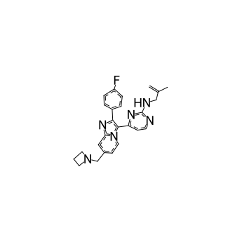 C=C(C)CNc1nccc(-c2c(-c3ccc(F)cc3)nc3cc(CN4CCC4)ccn23)n1